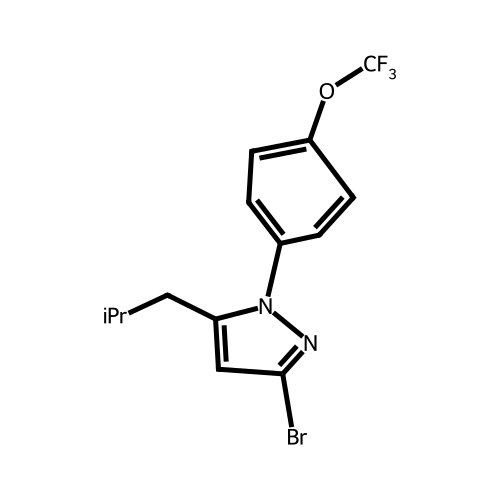 CC(C)Cc1cc(Br)nn1-c1ccc(OC(F)(F)F)cc1